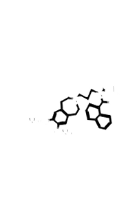 COc1cc2c(cc1OC)CCN(CCCN(C)C(C)c1cccc3ccccc13)CC2